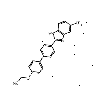 N#CCOc1ccc(-c2ccc(-c3nc4cc(C(F)(F)F)ccc4[nH]3)cc2)cc1